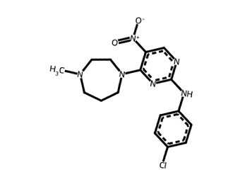 CN1CCCN(c2nc(Nc3ccc(Cl)cc3)ncc2[N+](=O)[O-])CC1